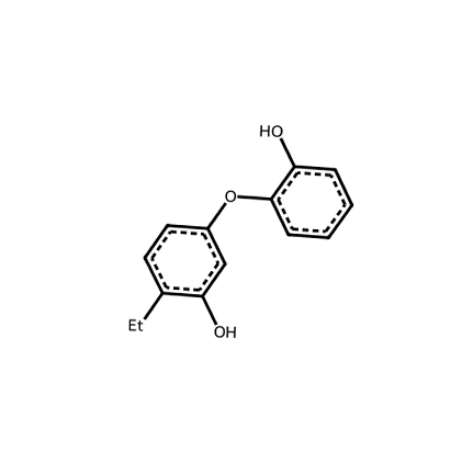 CCc1ccc(Oc2ccccc2O)cc1O